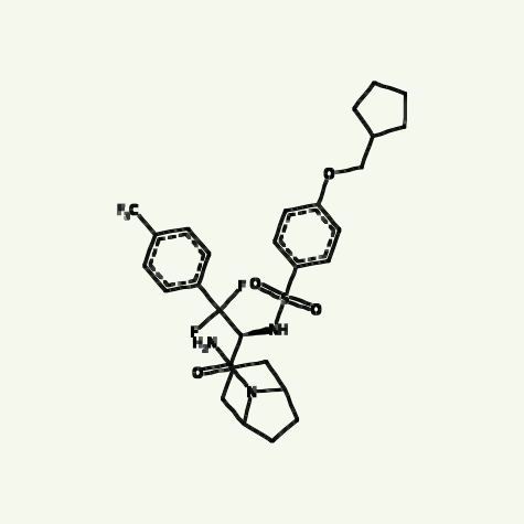 NC1CC2CCC(C1)N2C(=O)[C@H](NS(=O)(=O)c1ccc(OCC2CCCC2)cc1)C(F)(F)c1ccc(C(F)(F)F)cc1